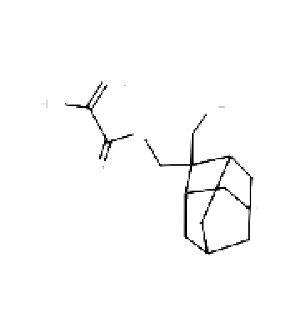 C=C(C)C(=O)OCC1(CO)C2CC3CC(C2)CC1C3